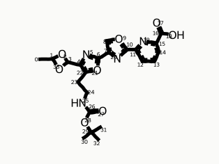 CC1OC(c2nc(-c3coc(-c4cccc(C(=O)O)n4)n3)oc2CCNC(=O)OC(C)(C)C)O1